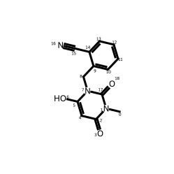 Cn1c(=O)cc(O)n(Cc2ccccc2C#N)c1=O